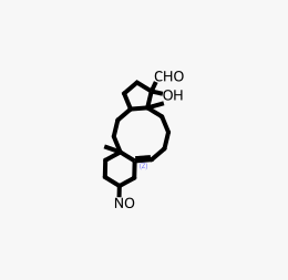 CC12CCC(N=O)C/C1=C/CCCC1(C)C(CC2)CCC1(O)C=O